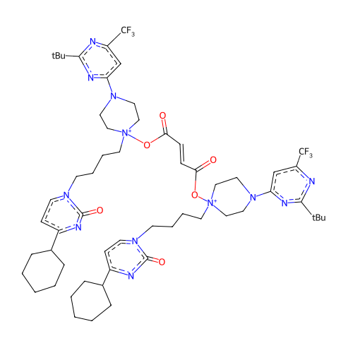 CC(C)(C)c1nc(N2CC[N+](CCCCn3ccc(C4CCCCC4)nc3=O)(OC(=O)/C=C/C(=O)O[N+]3(CCCCn4ccc(C5CCCCC5)nc4=O)CCN(c4cc(C(F)(F)F)nc(C(C)(C)C)n4)CC3)CC2)cc(C(F)(F)F)n1